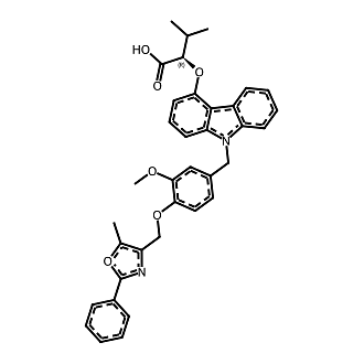 COc1cc(Cn2c3ccccc3c3c(O[C@@H](C(=O)O)C(C)C)cccc32)ccc1OCc1nc(-c2ccccc2)oc1C